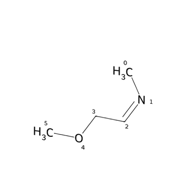 C/N=C\COC